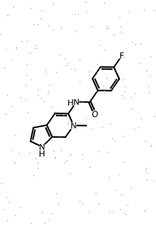 CN1Cc2[nH]ccc2C=C1NC(=O)c1ccc(F)cc1